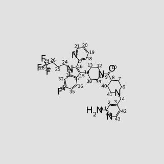 Nc1cc(CN2CCC(C(=O)N3CCC(c4c(-c5ccccn5)n(CCCC(F)(F)F)c5cc(F)ccc45)CC3)CC2)ccn1